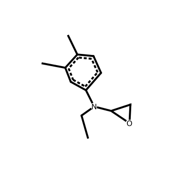 CCN(c1ccc(C)c(C)c1)C1CO1